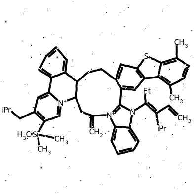 C=C/C(=C(\CC)n1c2[n+](c3ccccc31)C(=C)CC1C(CCc3cc4sc5c(C)ccc(C)c5c4cc3-2)c2ccccc2-c2cc(CC(C)C)c([Si](C)(C)C)c[n+]21)C(C)C